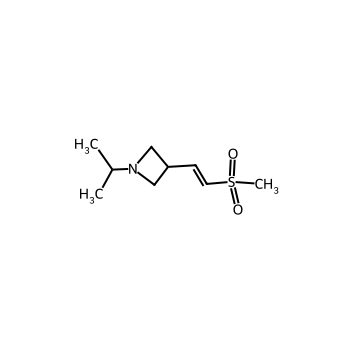 CC(C)N1CC(C=CS(C)(=O)=O)C1